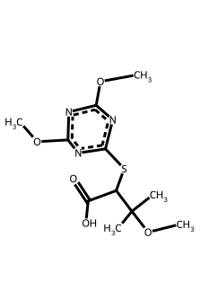 COc1nc(OC)nc(SC(C(=O)O)C(C)(C)OC)n1